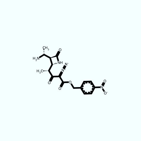 C[C@@H](N)[C@H]1C(=O)N[C@@H]1[C@@H](C)C(=O)C(=[N+]=[N-])C(=O)OCc1ccc([N+](=O)[O-])cc1